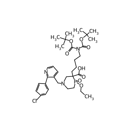 CCOP1(=O)CCN(Cc2cccnc2-c2ccc(Cl)cc2)CC1(CCCCN(C(=O)OC(C)(C)C)C(=O)OC(C)(C)C)C(=O)O